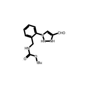 CC(C)(C)OC(=O)NCc1ccccc1N1C=C(C=O)NN1